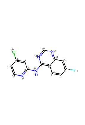 Fc1ccc2c(Nc3cc(Cl)ccn3)ncnc2c1